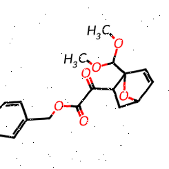 COC(OC)C12C=CC(CC1C(=O)C(=O)OCc1ccccc1)O2